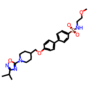 COCCNS(=O)(=O)c1ccc(-c2ccc(OCC3CCN(c4nc(C(C)C)no4)CC3)cc2)cc1